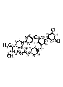 CCCC(C)N1CCN(c2ncc(Oc3cc(CN4CCC(CC(=O)OC)CC4)cc(-c4cc(Cl)cc(Cl)c4)n3)cn2)CC1